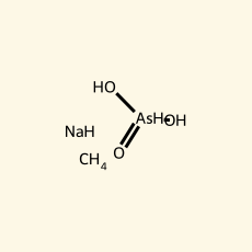 C.O=[AsH](O)O.[NaH]